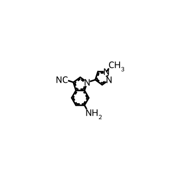 Cn1cc(-n2cc(C#N)c3ccc(N)cc32)cn1